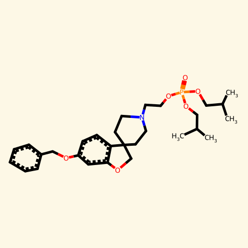 CC(C)COP(=O)(OCCN1CCC2(CC1)COc1cc(OCc3ccccc3)ccc12)OCC(C)C